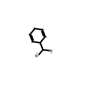 BrC(Br)C1C=CCC=C1